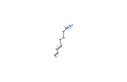 C=C/C=C/CCCC#N